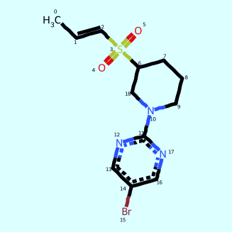 C/C=C/S(=O)(=O)C1CCCN(c2ncc(Br)cn2)C1